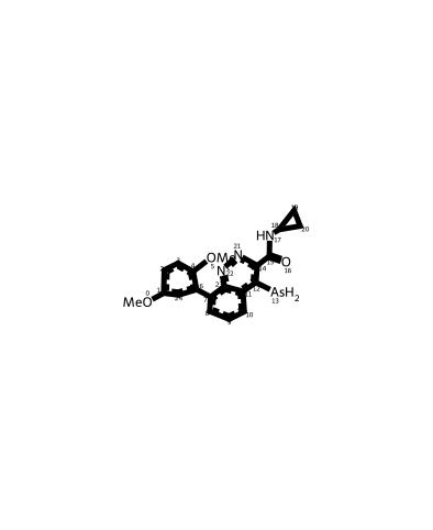 COc1ccc(OC)c(-c2cccc3c([AsH2])c(C(=O)NC4CC4)nnc23)c1